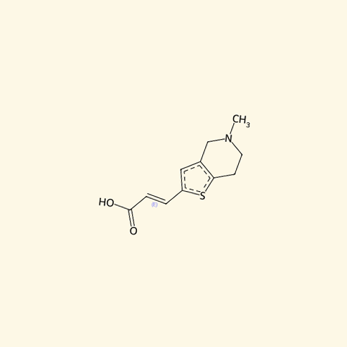 CN1CCc2sc(/C=C/C(=O)O)cc2C1